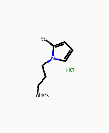 CCCCCCCCCn1cccc1CC.Cl